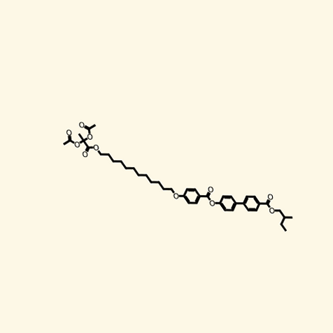 CCC(C)COC(=O)c1ccc(-c2ccc(OC(=O)c3ccc(OCCCCCCCCCCCCOC(=O)C(C)(OC(C)=O)OC(C)=O)cc3)cc2)cc1